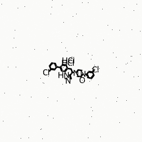 Cl.Cl.O=C1CN(C(Cc2ccc(-c3cccc(Cl)c3)cc2)c2cnc[nH]2)CCN1c1cccc(Cl)c1